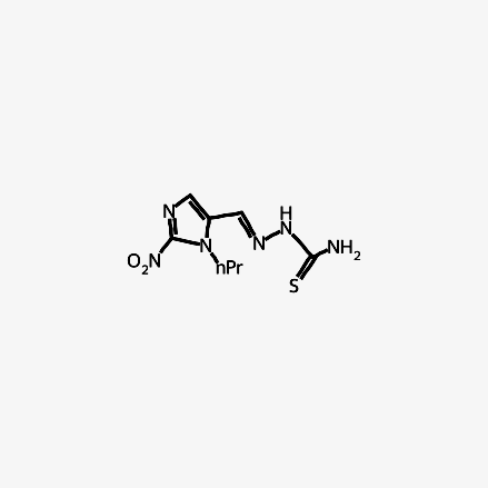 CCCn1c(C=NNC(N)=S)cnc1[N+](=O)[O-]